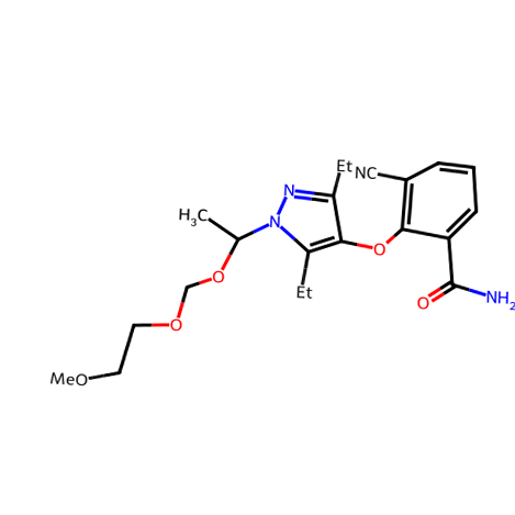 CCc1nn(C(C)OCOCCOC)c(CC)c1Oc1c(C#N)cccc1C(N)=O